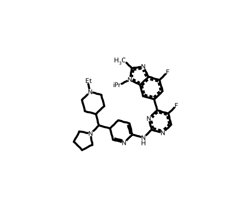 CCN1CCC(C(C2C=NC(Nc3ncc(F)c(-c4cc(F)c5nc(C)n(C(C)C)c5c4)n3)=CC2)N2CCCC2)CC1